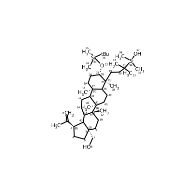 C=C(C)[C@@H]1CC[C@]2(CO)CC[C@]3(C)C(CCC4[C@@]5(C)CC[C@H](O[Si](C)(C)C(C)(C)C)[C@@](C)(CCC(C)(C)[Si](C)(C)O)C5CC[C@]43C)C12